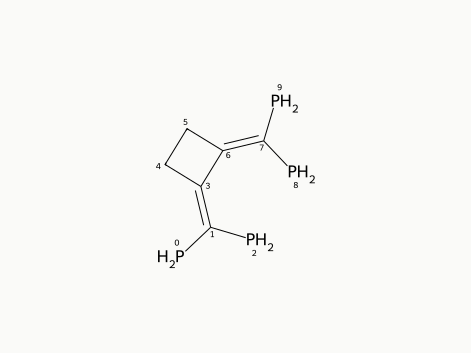 PC(P)=C1CCC1=C(P)P